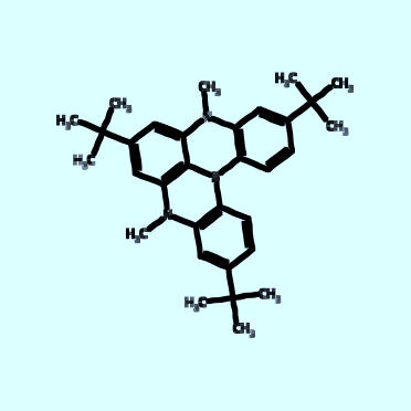 CN1c2cc(C(C)(C)C)ccc2B2c3ccc(C(C)(C)C)cc3N(C)c3cc(C(C)(C)C)cc1c32